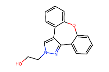 OCCn1cc2c(n1)-c1ccccc1Oc1ccccc1-2